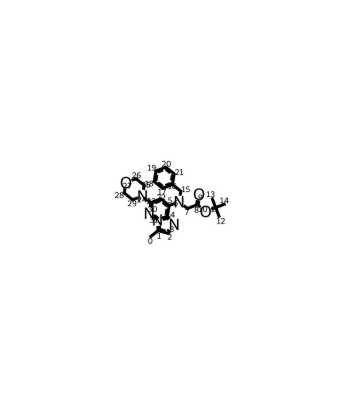 Cc1cnc2c(N(CC(=O)OC(C)(C)C)Cc3ccccc3)cc(N3CCOCC3)nn12